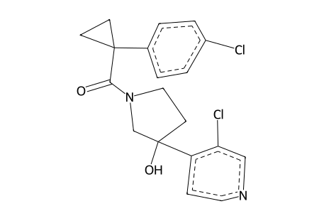 O=C(N1CCC(O)(c2ccncc2Cl)C1)C1(c2ccc(Cl)cc2)CC1